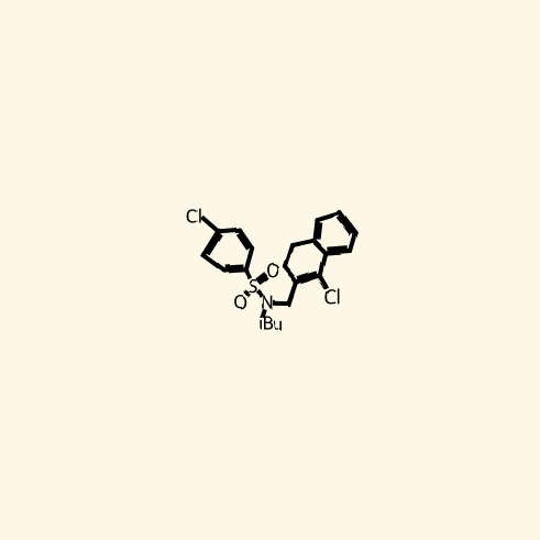 CCC(C)N(CC1=C(Cl)c2ccccc2CC1)S(=O)(=O)c1ccc(Cl)cc1